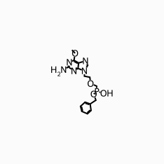 COc1nc(N)nc2c1ncn2CCOCP(O)OCc1ccccc1